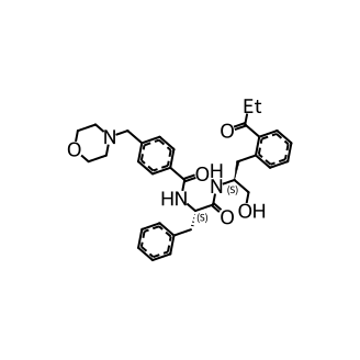 CCC(=O)c1ccccc1C[C@@H](CO)NC(=O)[C@H](Cc1ccccc1)NC(=O)c1ccc(CN2CCOCC2)cc1